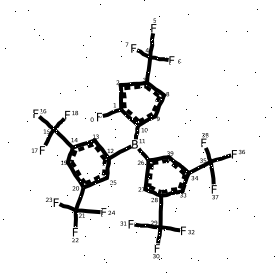 Fc1cc(C(F)(F)F)ccc1B(c1cc(C(F)(F)F)cc(C(F)(F)F)c1)c1cc(C(F)(F)F)cc(C(F)(F)F)c1